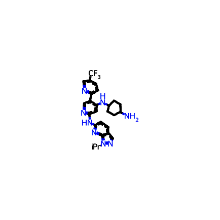 CC(C)n1ncc2ccc(Nc3cc(NC4CCC(N)CC4)c(-c4ccc(C(F)(F)F)cn4)cn3)nc21